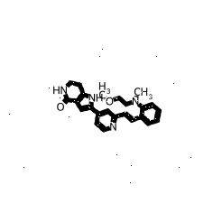 COCCN(C)c1ccccc1/C=C/c1cc(-c2cc3c([nH]2)CCNC3=O)ccn1